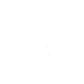 C=CC1CC(C=C(C)C)C(C(C)=O)C1C(C)=O